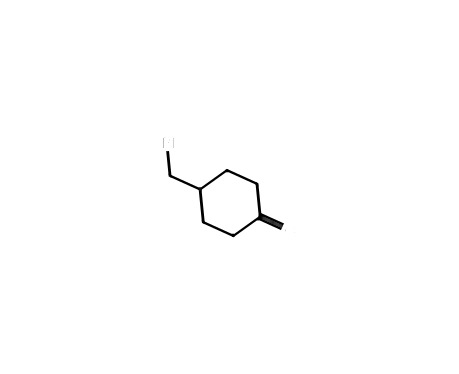 BCC1CCC(=O)CC1